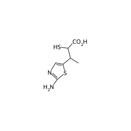 CC(c1cnc(N)s1)C(S)C(=O)O